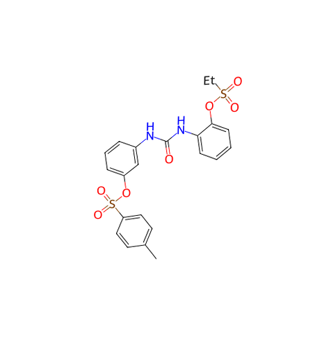 CCS(=O)(=O)Oc1ccccc1NC(=O)Nc1cccc(OS(=O)(=O)c2ccc(C)cc2)c1